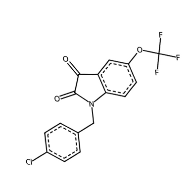 O=C1C(=O)N(Cc2ccc(Cl)cc2)c2ccc(OC(F)(F)F)cc21